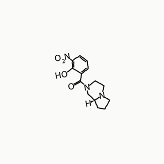 O=C(c1cccc([N+](=O)[O-])c1O)N1CCN2CCC[C@@H]2C1